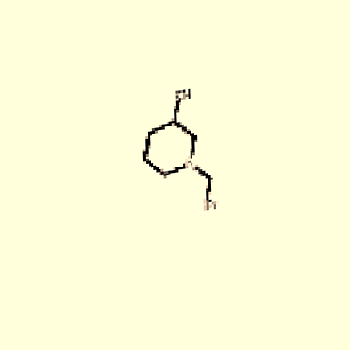 CC(C)CN1CCCC(C#N)C1